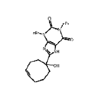 CCCn1c(=O)c2[nH]c(C3(O)CCC=CCCC3)nc2n(CCC)c1=O